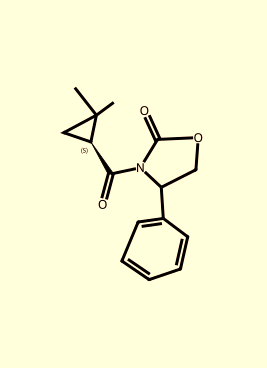 CC1(C)C[C@@H]1C(=O)N1C(=O)OCC1c1ccccc1